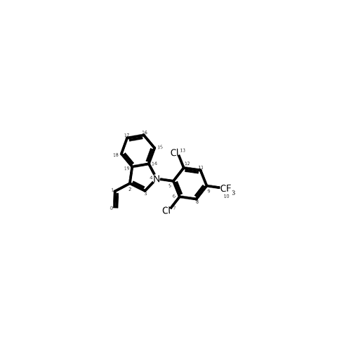 C=Cc1cn(-c2c(Cl)cc(C(F)(F)F)cc2Cl)c2ccccc12